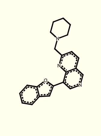 c1ccc2oc(-c3cncc4ccc(CN5CCCCC5)nc34)cc2c1